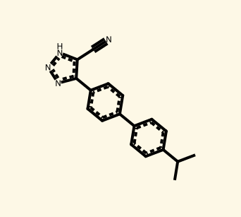 CC(C)c1ccc(-c2ccc(-c3nn[nH]c3C#N)cc2)cc1